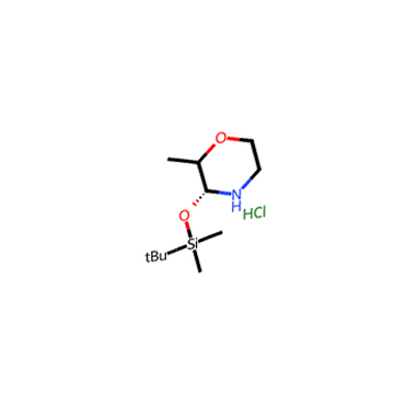 CC1OCCN[C@@H]1O[Si](C)(C)C(C)(C)C.Cl